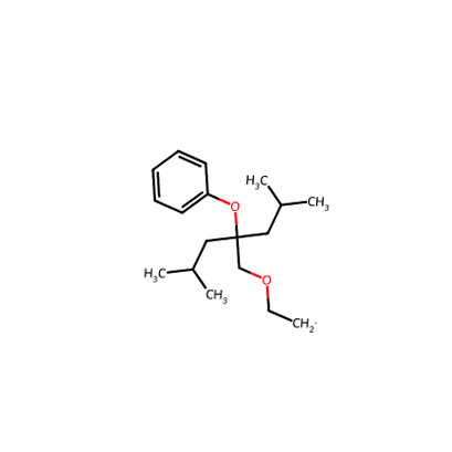 [CH2]COCC(CC(C)C)(CC(C)C)Oc1ccccc1